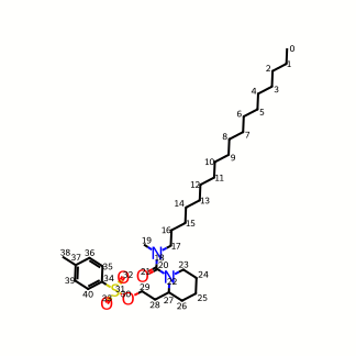 CCCCCCCCCCCCCCCCCCN(C)C(=O)N1CCCCC1CCOS(=O)(=O)c1ccc(C)cc1